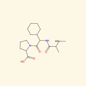 C[AsH]C(C)C(=O)NC(C(=O)N1CCCC1C(=O)O)C1CCCCC1